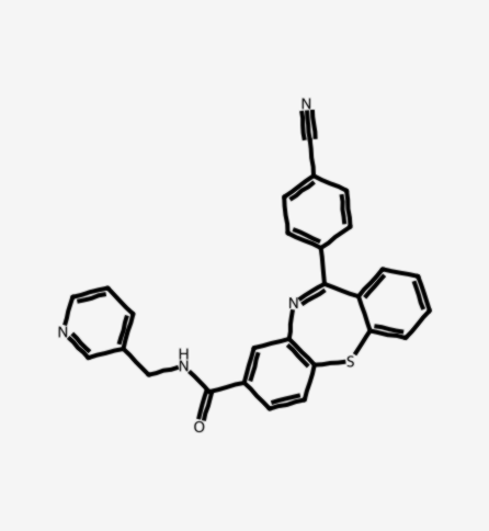 N#Cc1ccc(C2=Nc3cc(C(=O)NCc4cccnc4)ccc3Sc3ccccc32)cc1